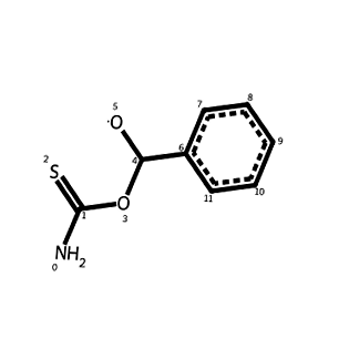 NC(=S)OC([O])c1ccccc1